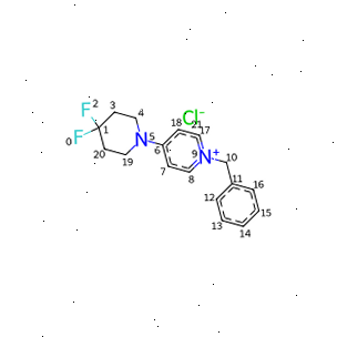 FC1(F)CCN(c2cc[n+](Cc3ccccc3)cc2)CC1.[Cl-]